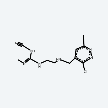 C/N=C(\NC#N)NCCNCc1cc(C)nnc1Cl